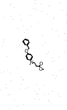 COC(=O)CCN(C)c1ccc(OCc2ccccc2)cc1